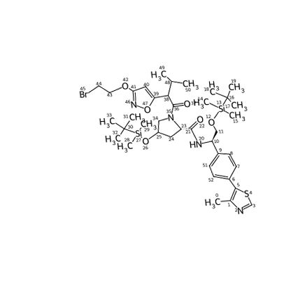 Cc1ncsc1-c1ccc([C@H](CO[Si](C)(C)C(C)(C)C)NC(=O)[C@@H]2CC(O[Si](C)(C)C(C)(C)C)CN2C(=O)C(c2cc(OCCBr)no2)C(C)C)cc1